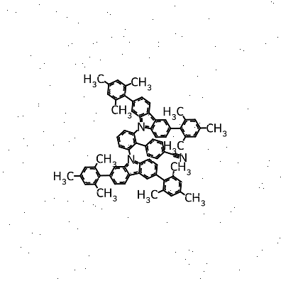 Cc1cc(C)c(-c2ccc3c(c2)c2ccc(-c4c(C)cc(C)cc4C)cc2n3-c2cccc(-n3c4ccc(-c5c(C)cc(C)cc5C)cc4c4ccc(-c5c(C)cc(C)cc5C)cc43)c2-c2ccc(C#N)cc2)c(C)c1